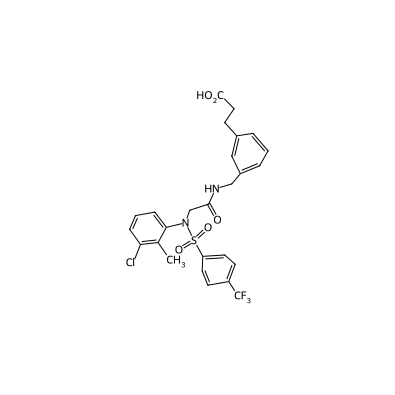 Cc1c(Cl)cccc1N(CC(=O)NCc1cccc(CCC(=O)O)c1)S(=O)(=O)c1ccc(C(F)(F)F)cc1